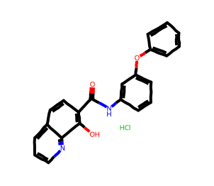 Cl.O=C(Nc1cccc(Oc2ccccc2)c1)c1ccc2cccnc2c1O